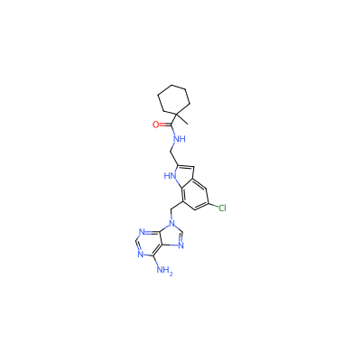 CC1(C(=O)NCc2cc3cc(Cl)cc(Cn4cnc5c(N)ncnc54)c3[nH]2)CCCCC1